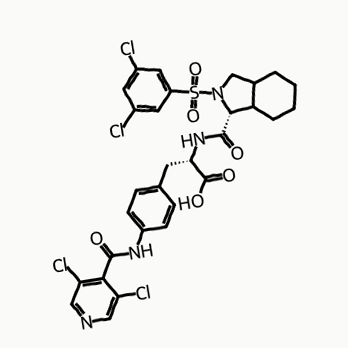 O=C(Nc1ccc(C[C@H](NC(=O)[C@H]2C3CCCCC3CN2S(=O)(=O)c2cc(Cl)cc(Cl)c2)C(=O)O)cc1)c1c(Cl)cncc1Cl